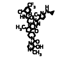 Cc1nc(NC2CC2)ccc1-c1nc2n(CC(=O)Nc3ccc(C(F)(F)F)cc3Cl)c3c(c(=O)n2n1)C1(CCN(C(=O)c2ncnc(C)c2O)CC1)CC3C